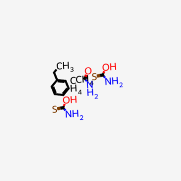 C.C.CCc1ccccc1.NC(O)=S.NC(O)=S.NC=O